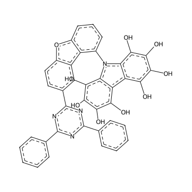 Oc1c(O)c(O)c2c(c1O)c1c(O)c(O)c(O)c(O)c1n2-c1cccc2oc3ccc(-c4nc(-c5ccccc5)nc(-c5ccccc5)n4)cc3c12